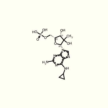 CC1(O)[C@@H](O)[C@@H](COP(=O)(O)O)O[C@H]1n1cnc2c(NC3CC3)nc(N)nc21